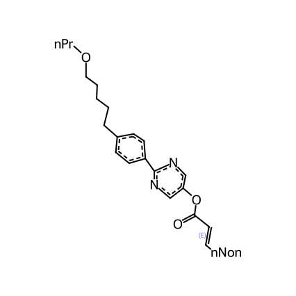 CCCCCCCCC/C=C/C(=O)Oc1cnc(-c2ccc(CCCCCOCCC)cc2)nc1